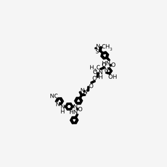 Cc1ncsc1-c1ccc(CNC(=O)[C@@H]2C[C@@H](O)CN2C(=O)[C@H](C)NC(=O)COCCOCCn2cc(-c3ccc(N(C(=O)NCc4ccccc4)C4CCC(Nc5ccc(C#N)cn5)CC4)cc3)cn2)cc1